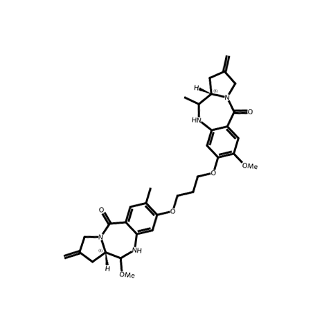 C=C1C[C@H]2C(C)Nc3cc(OCCCOc4cc5c(cc4C)C(=O)N4CC(=C)C[C@H]4C(OC)N5)c(OC)cc3C(=O)N2C1